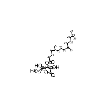 CC(=CCCC(=O)OC1=C(O)C(=O)O[C@@H]1[C@@H](O)CO)CCCC(C)CCCC(C)C